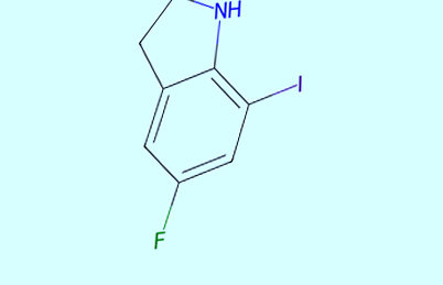 Fc1cc(I)c2c(c1)CCN2